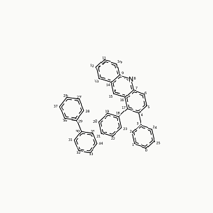 c1ccc(-c2ccc3nc4ccccc4cc3c2-c2ccccc2)cc1.c1ccc(-c2ccccc2)cc1